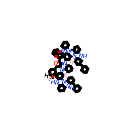 Cc1cc2c3c4c1Nc1cccc5c1N4c1c(ccc(-c4ccccc4)c1N5)B3c1ccc3c4c1N2c1c(-c2ccccc2)oc(-c2ccccc2)c1N4c1cc(N(c2ccccc2)c2ccccc2)c2c4c1B3c1cc(-c3ccccc3)cc3c1N4c1c(cccc1N2)N3